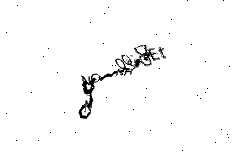 CCC(=O)OCC[S+]([O-])CC(=O)NCC=CCOc1cc(CN2CCCCC2)ccn1